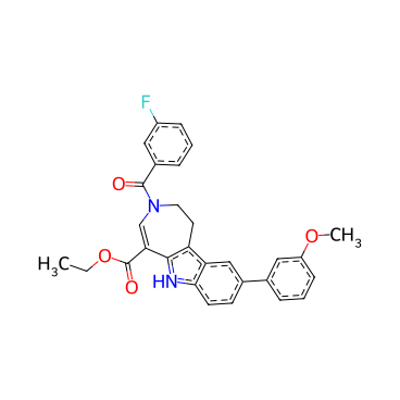 CCOC(=O)C1=CN(C(=O)c2cccc(F)c2)CCc2c1[nH]c1ccc(-c3cccc(OC)c3)cc21